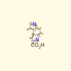 O=C(O)C1=Nc2ccc3c(c2=C1)=CC[N]3